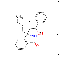 CCCCC1(CC(O)c2ccccc2)NC(=O)C2=C1CCC=C2